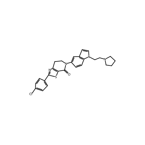 O=C1c2sc(-c3ccc(Cl)cc3)nc2CCN1c1ccc2c(ccn2CCN2CCCC2)c1